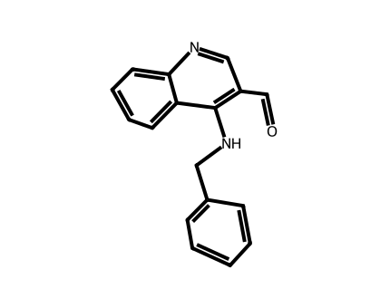 O=Cc1cnc2ccccc2c1NCc1ccccc1